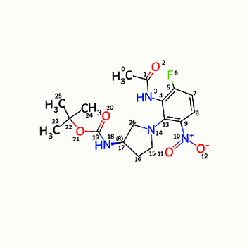 CC(=O)Nc1c(F)ccc([N+](=O)[O-])c1N1CC[C@@H](NC(=O)OC(C)(C)C)C1